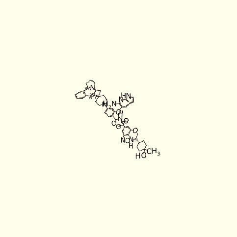 CC(C)c1ccccc1[C@H]1CCCN1C1CC2(CCN(c3ccc(C(=O)NS(=O)(=O)c4cc5c(c([N+](=O)[O-])c4)N[C@@H](C4CCC(C)(O)CC4)CO5)c(Oc4cc5cc[nH]c5nc4N)c3)CC2)C1